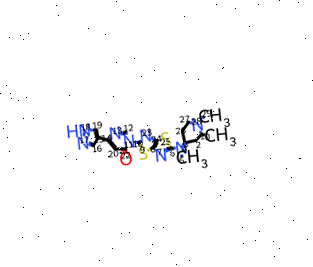 CC1CC(N(C)c2nc3sc(-n4cnc(-c5cn[nH]c5)cc4=O)nc3s2)CCN1C